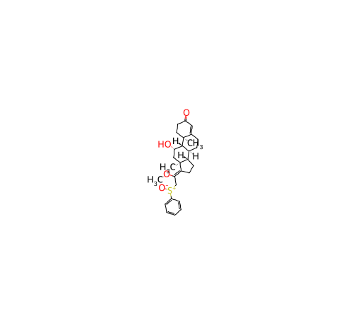 CO/C(C[S+]([O-])c1ccccc1)=C1/CC[C@H]2[C@@H]3CCC4=CC(=O)CC[C@]4(C)[C@H]3[C@@H](O)C[C@]12C